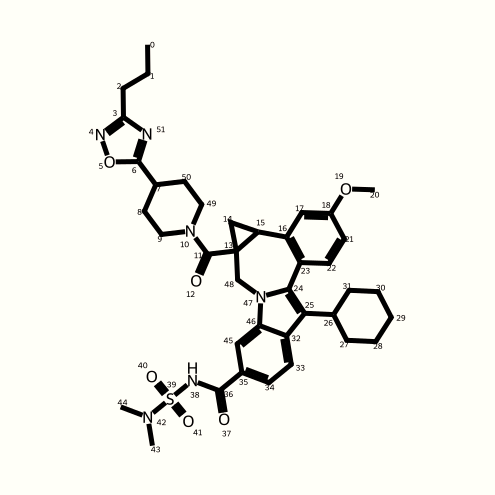 CCCc1noc(C2CCN(C(=O)C34CC3c3cc(OC)ccc3-c3c(C5CCCCC5)c5ccc(C(=O)NS(=O)(=O)N(C)C)cc5n3C4)CC2)n1